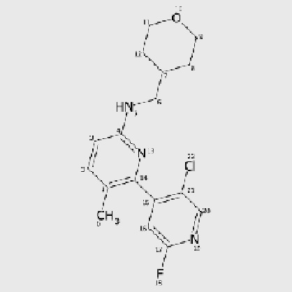 Cc1ccc(NCC2CCOCC2)nc1-c1cc(F)ncc1Cl